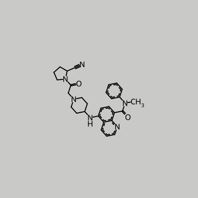 CN(C(=O)c1ccc(NC2CCN(CC(=O)N3CCCC3C#N)CC2)c2cccnc12)c1ccccc1